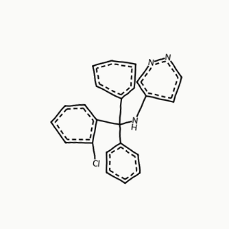 Clc1ccccc1C(Nc1ccnnc1)(c1ccccc1)c1ccccc1